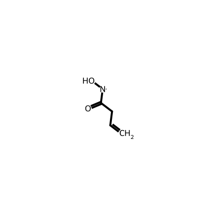 C=CCC(=O)[N]O